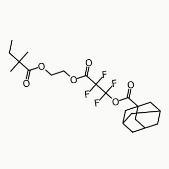 CCC(C)(C)C(=O)OCCOC(=O)C(F)(F)C(F)(F)OC(=O)C12CC3CC(CC(C3)C1)C2